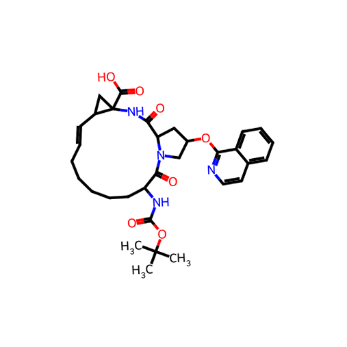 CC(C)(C)OC(=O)NC1CCCCC/C=C/C2CC2(C(=O)O)NC(=O)C2CC(Oc3nccc4ccccc34)CN2C1=O